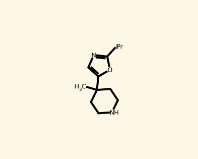 CC(C)c1ncc(C2(C)CCNCC2)o1